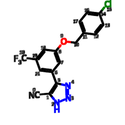 N#Cc1[nH]nnc1-c1cc(OCc2ccc(Cl)cc2)cc(C(F)(F)F)c1